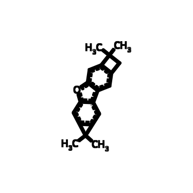 CC1(C)Cc2cc3c(cc21)oc1cc2c(cc13)C2(C)C